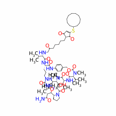 CC[C@H](C)[C@@H]([C@H](O)CC(=O)N1CCC[C@H]1[C@H](OC)[C@@H](C)C(N)=O)N(C)C(=O)[C@@H](NC(=O)[C@H](C(C)C)N(C)C(=O)OCc1ccc(NC(=O)[C@H](CCCNC(N)=O)NC(=O)[C@@H](NCC(=O)CCCCCC2C(=O)C=C(SC3CCCCCCCCCC3)C2=O)C(C)C)cc1)C(C)C